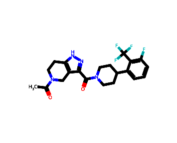 CC(=O)N1CCc2[nH]nc(C(=O)N3CCC(c4cccc(F)c4C(F)(F)F)CC3)c2C1